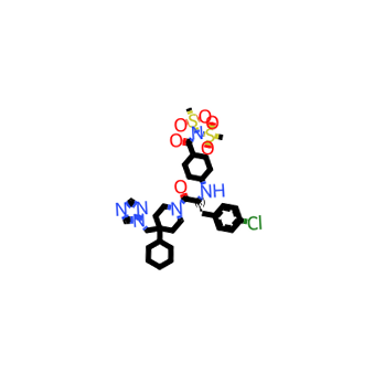 CS(=O)(=O)N(C(=O)C1CCC(N[C@H](Cc2ccc(Cl)cc2)C(=O)N2CCC(Cn3cncn3)(C3CCCCC3)CC2)CC1)S(C)(=O)=O